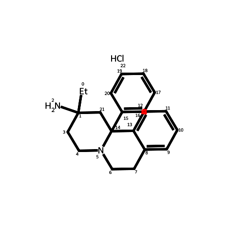 CCC1(N)CCN2CCc3ccccc3C2(c2ccccc2)C1.Cl